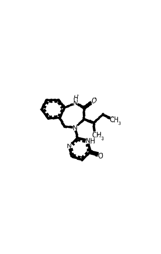 CCC(C)C1C(=O)Nc2ccccc2CN1c1nccc(=O)[nH]1